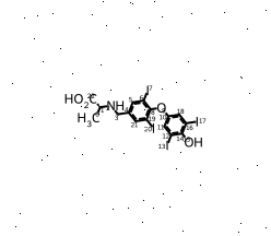 C[C@H](NCc1cc(I)c(Oc2cc(I)c(O)c(I)c2)c(I)c1)C(=O)O